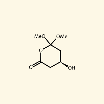 COC1(OC)C[C@@H](O)CC(=O)O1